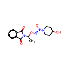 CC(O/N=[N+](\[O-])N1CCC(O)CC1)N1C(=O)c2ccccc2C1=O